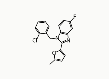 Cc1ccc(-c2nc3cc(F)ccc3n2Cc2ccccc2Cl)o1